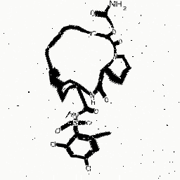 Cc1cc(Cl)cc(Cl)c1S(=O)(=O)NC(=O)C12CC1C=CCCCCCC(OC(N)=O)C(=O)N1CCCC1C(=O)N2